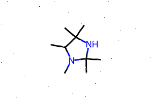 CC1N(C)C(C)(C)NC1(C)C